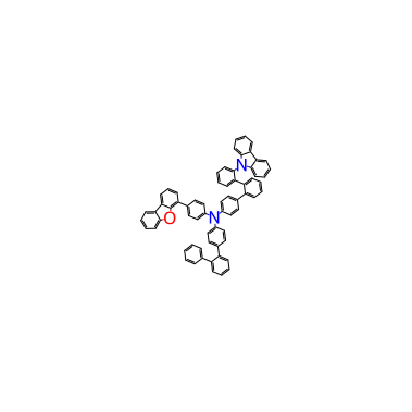 c1ccc(-c2ccccc2-c2ccc(N(c3ccc(-c4ccccc4-c4ccccc4-n4c5ccccc5c5ccccc54)cc3)c3ccc(-c4cccc5c4oc4ccccc45)cc3)cc2)cc1